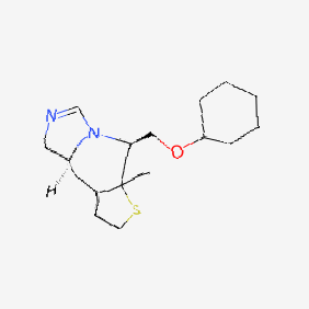 CC12SCCC1[C@H]1CN=CN1[C@H]2COC1CCCCC1